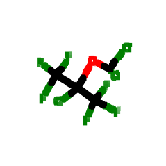 FC(F)(F)C(Cl)(OC(Cl)Cl)C(F)(F)F